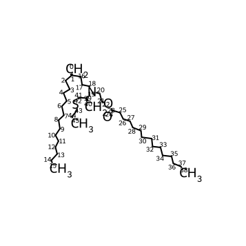 C=C(CCCCCCCCCCCCCC)CCCN(CCOC(=O)CCCCCCCCCCCCCC)C(=C)CSCCC